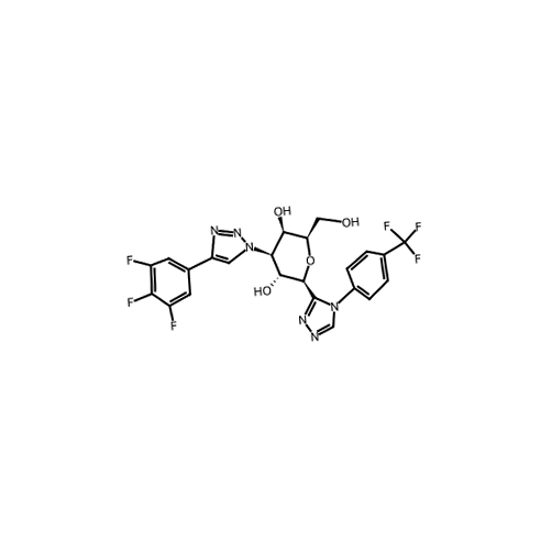 OC[C@H]1O[C@@H](c2nncn2-c2ccc(C(F)(F)F)cc2)[C@H](O)[C@@H](n2cc(-c3cc(F)c(F)c(F)c3)nn2)[C@H]1O